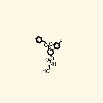 O=C(NCCO)O[C@@H]1CCN(C(=O)OCc2ccccc2)[C@H](c2ccc(F)cc2)C1